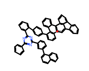 N#Cc1cccc(-c2ccc(-c3ccccc3-c3nc(-c4ccccc4)nc(-c4cccc(-c5cccc6ccccc56)c4)n3)cc2)c1-c1ccccc1-c1ccc2c3c(cccc13)-c1ccccc1-2